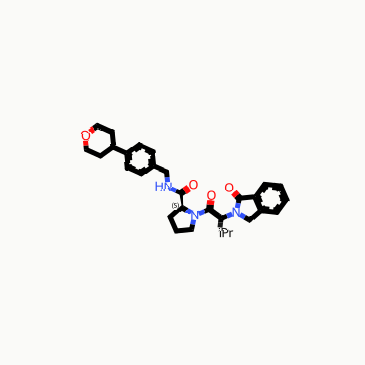 CC(C)C(C(=O)N1CCC[C@H]1C(=O)NCc1ccc(C2CCOCC2)cc1)N1Cc2ccccc2C1=O